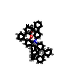 CC1(C)c2ccccc2-c2ccc(N(c3ccc4c(c3)C3(c5ccccc5-c5ccccc5-4)c4ccccc4-c4ccccc43)c3cccc4c3Oc3ccccc3-c3ccccc3-4)cc21